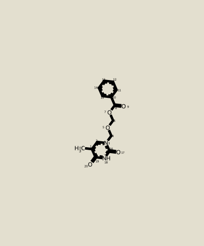 Cc1cn(COCOC(=O)c2ccccc2)c(=O)[nH]c1=O